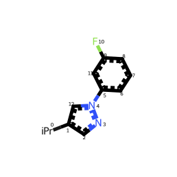 CC(C)c1cnn(-c2cccc(F)c2)c1